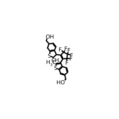 Cc1sc2cc(CO)ccc2c1C1=C(C2C3=C(CC(CO)C=C3)SC2C)C(F)(F)C(F)(F)C1(F)F